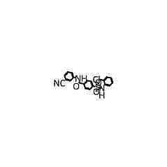 N#Cc1cccc(NC(=O)c2ccc(S(=O)(=O)Nc3ccccc3Cl)cc2)c1